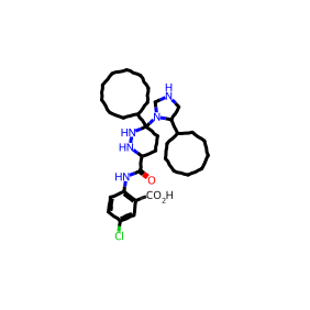 O=C(O)c1cc(Cl)ccc1NC(=O)C1CCC(C2CCCCCCCCC2)(N2CNCC2C2CCCCCCCC2)NN1